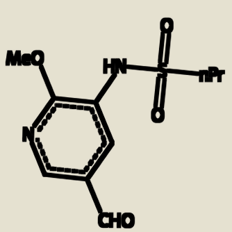 CCCS(=O)(=O)Nc1cc(C=O)cnc1OC